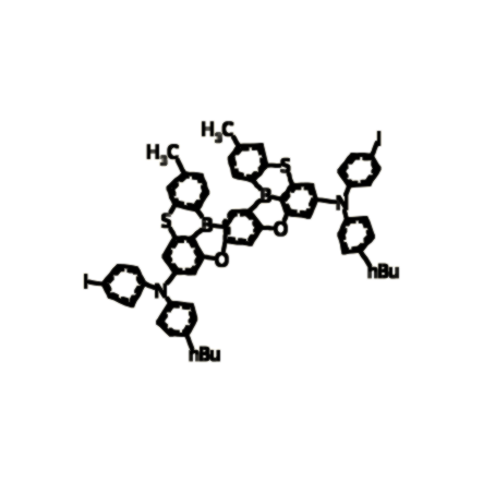 CCCCc1ccc(N(c2ccc(I)cc2)c2cc3c4c(c2)Sc2cc(C)ccc2B4c2cc4c(cc2O3)Oc2cc(N(c3ccc(I)cc3)c3ccc(CCCC)cc3)cc3c2B4c2ccc(C)cc2S3)cc1